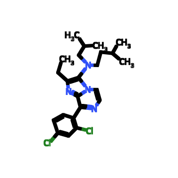 CCc1nc2c(-c3ccc(Cl)cc3Cl)nccn2c1N(CCC(C)C)CC(C)C